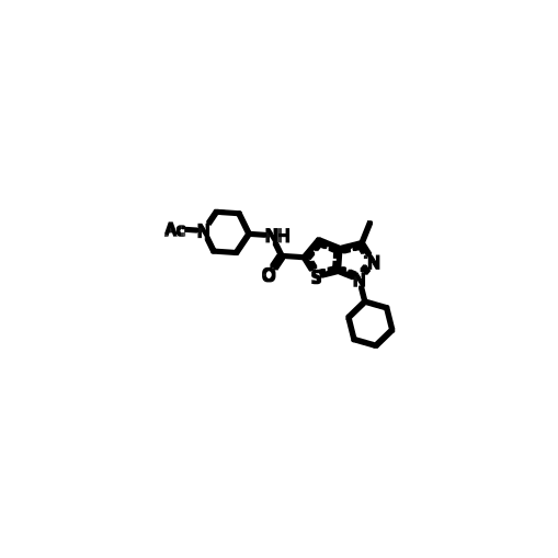 CC(=O)N1CCC(NC(=O)c2cc3c(C)nn(C4CCCCC4)c3s2)CC1